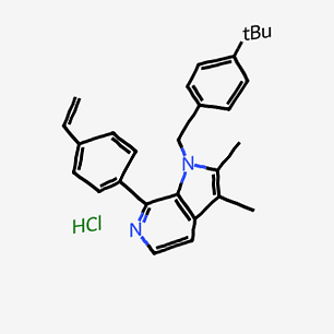 C=Cc1ccc(-c2nccc3c(C)c(C)n(Cc4ccc(C(C)(C)C)cc4)c23)cc1.Cl